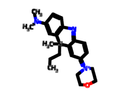 CCC[Si]1(C)C2=CC(=[N+]3CCOCC3)C=CC2=Nc2ccc(N(C)C)cc21